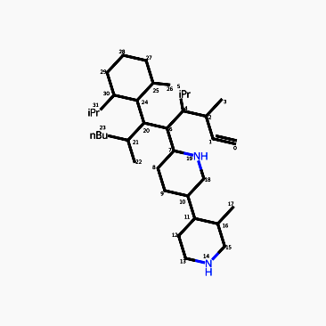 C=CC(C)C(C(C)C)C(C1CCC(C2CCNCC2C)CN1)C(C(C)CCCC)C1C(C)CCCC1C(C)C